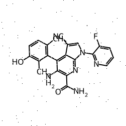 Cc1ccc(O)c(C)c1-c1c(N)c(C(N)=O)nc2c1c(C#N)cn2-c1ncccc1F